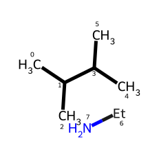 CC(C)C(C)C.CCN